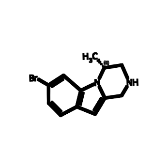 C[C@@H]1CNCc2cc3ccc(Br)cc3n21